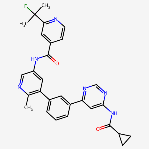 Cc1ncc(NC(=O)c2ccnc(C(C)(C)F)c2)cc1-c1cccc(-c2cc(NC(=O)C3CC3)ncn2)c1